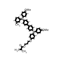 C=C(C)C(=O)OCCCOc1ccc(N(c2ccc(OC)cc2)c2ccc(-c3ccc(N(c4ccc(OC)cc4)c4cccc(C)c4)cc3)cc2)cc1